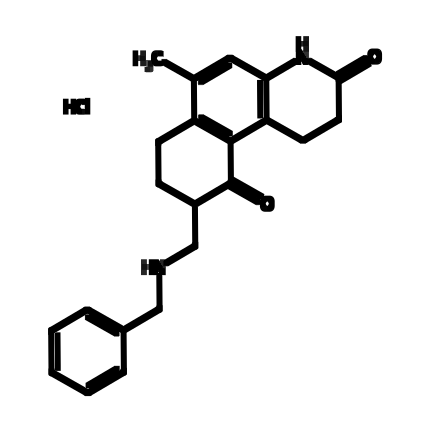 Cc1cc2c(c3c1CCC(CNCc1ccccc1)C3=O)CCC(=O)N2.Cl